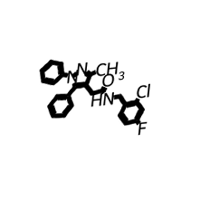 Cc1nn(-c2ccccc2)c(-c2ccccc2)c1CC(=O)NCc1ccc(F)cc1Cl